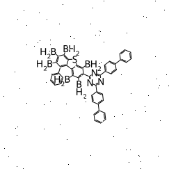 Bc1c(B)c(-c2ccccc2)c2c(sc3c(B)c(-c4nc(-c5ccc(-c6ccccc6)cc5)nc(-c5ccc(-c6ccccc6)cc5)n4)c(B)c(B)c32)c1B